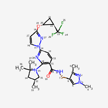 Cc1nn(C)cc1SNC(=O)c1ccc(-n2ccc(O[C@@H]3C[C@H]3C(F)(F)F)n2)nc1N1C[C@@H](C)CC1(C)C